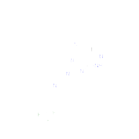 FC(F)(F)c1cccc(N2CCN(c3nc4c5c(n[nH]c5n3)CCN4Cc3ccccc3)CC2)c1